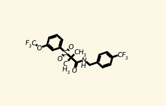 CC(C)(C(=O)NCc1ccc(C(F)(F)F)cc1)S(=O)(=O)c1cccc(OC(F)(F)F)c1